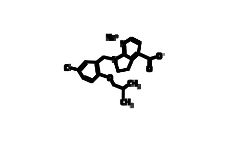 CC(C)COc1ccc(Cl)cc1CN1CCc2c(C(=O)[O-])ccnc21.[Na+]